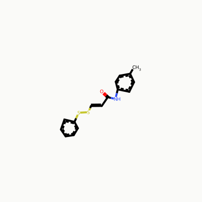 Cc1ccc(NC(=O)/C=C/SSc2ccccc2)cc1